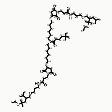 CCOC(C)(C)CC(COCCCNC(=O)CCN1C(=O)CC(SCCCCCCN(CCCCCCSC2CC(=O)N(CCC(=O)NCCCOCC(CC(C)C)C(C)(C)OCC)C2=O)C(=O)CCCC(C)(C)C)C1=O)C(C)C